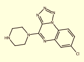 Clc1ccc2c(c1)nc(N1CCNCC1)c1nnnn12